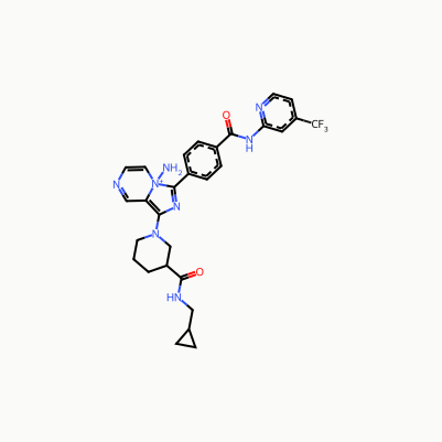 N[N+]12C=CN=CC1=C(N1CCCC(C(=O)NCC3CC3)C1)N=C2c1ccc(C(=O)Nc2cc(C(F)(F)F)ccn2)cc1